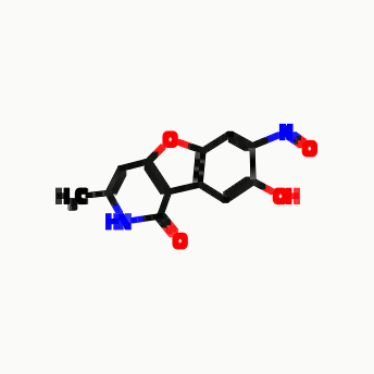 Cc1cc2oc3cc(N=O)c(O)cc3c2c(=O)[nH]1